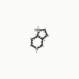 [c]1c[nH]c2ccncc12